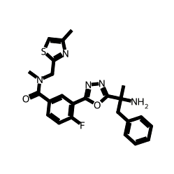 Cc1csc(CN(C)C(=O)c2ccc(F)c(-c3nnc(C(C)(N)Cc4ccccc4)o3)c2)n1